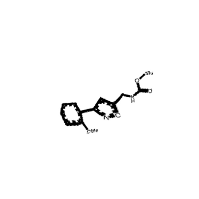 COc1ccccc1-c1cc(CNC(=O)OC(C)(C)C)on1